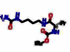 CC(C)[C@H](NC(=O)OC(C)(C)C)C(=O)NCCCCNC(N)=O